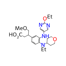 CCOc1ncc(Nc2cc(C(COC)CC(=O)O)ccc2N(CC)C2CCOCC2)cn1